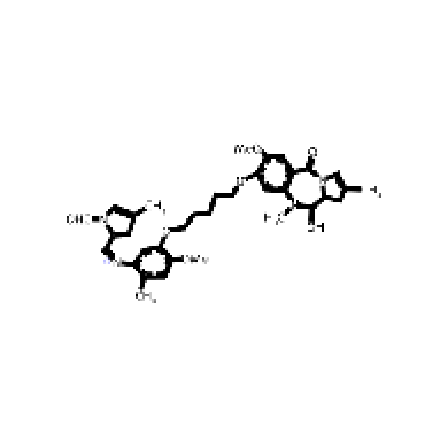 COc1cc(C)c(/N=C\C2CC(C)=CN2C=O)cc1OCCCCCOc1cc2c(cc1OC)C(=O)N1C=C(C)CC1C(O)N2C